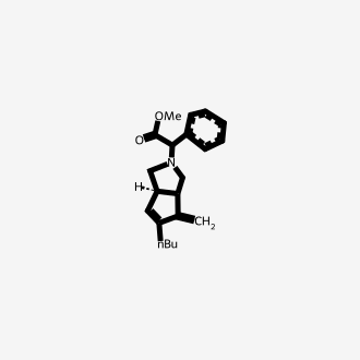 C=C1C(CCCC)=C[C@H]2CN(C(C(=O)OC)c3ccccc3)CC12